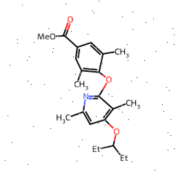 CCC(CC)Oc1cc(C)nc(Oc2c(C)cc(C(=O)OC)cc2C)c1C